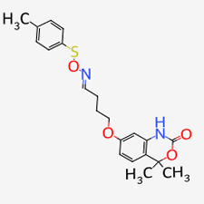 Cc1ccc(SON=CCCCOc2ccc3c(c2)NC(=O)OC3(C)C)cc1